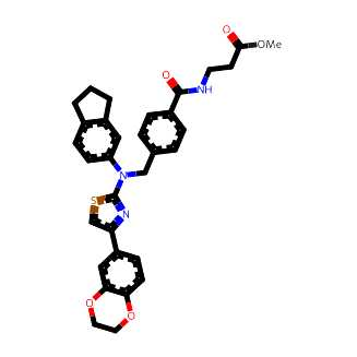 COC(=O)CCNC(=O)c1ccc(CN(c2ccc3c(c2)CCC3)c2nc(-c3ccc4c(c3)OCCO4)cs2)cc1